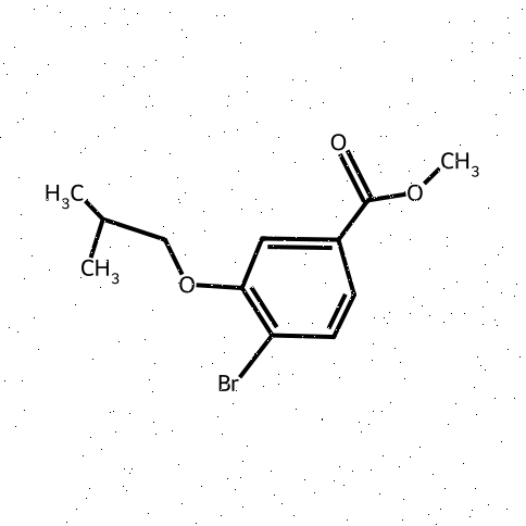 COC(=O)c1ccc(Br)c(OCC(C)C)c1